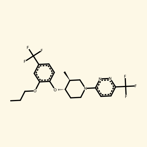 CCCOc1cc(C(F)(F)F)ccc1O[C@H]1CCN(c2ccc(C(F)(F)F)nn2)C[C@@H]1C